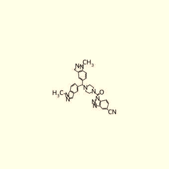 Cn1ncc2cc(C(c3ccc4c(cnn4C)c3)N3CCN(C(=O)n4nnc5cc(C#N)ccc54)CC3)ccc21